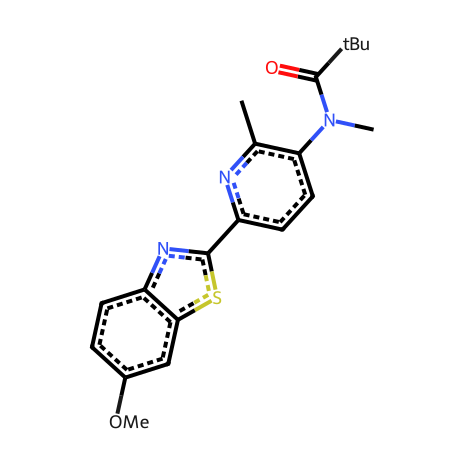 COc1ccc2nc(-c3ccc(N(C)C(=O)C(C)(C)C)c(C)n3)sc2c1